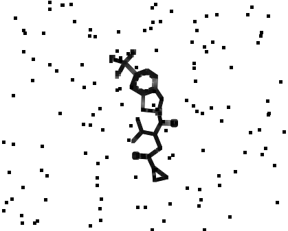 CC(C)C(CC(=O)C1CC1)C(=O)N1Cc2ccc(C(F)(F)F)cc2C1